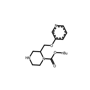 CCCCOC(=O)N1CCNCC1COc1cccnc1